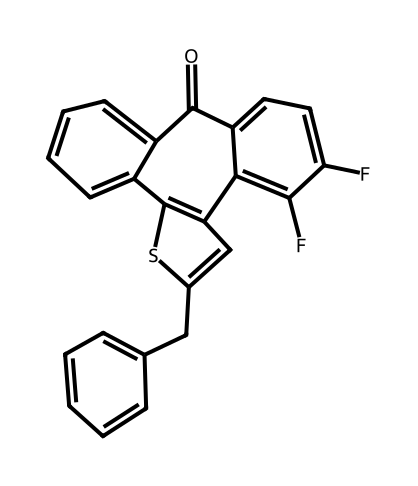 O=c1c2ccccc2c2sc(Cc3ccccc3)cc2c2c(F)c(F)ccc12